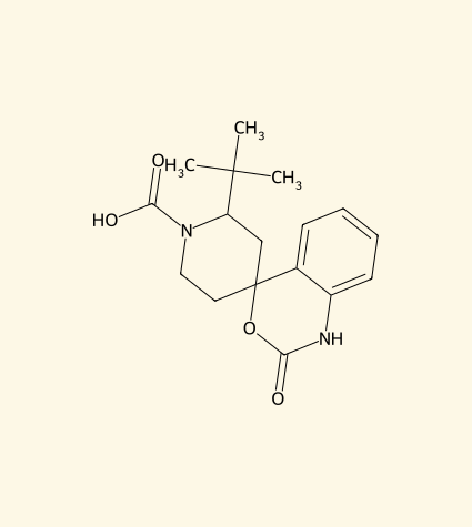 CC(C)(C)C1CC2(CCN1C(=O)O)OC(=O)Nc1ccccc12